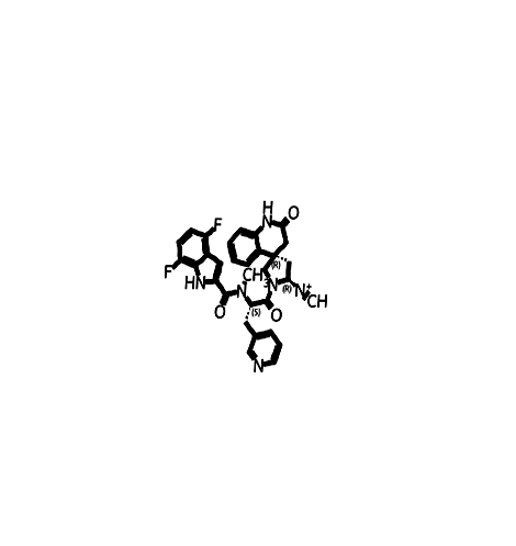 C#[N+][C@@H]1C[C@]2(CC(=O)Nc3ccccc32)CN1C(=O)[C@H](Cc1cccnc1)N(C)C(=O)c1cc2c(F)ccc(F)c2[nH]1